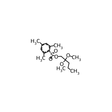 CCCC(COS(=O)(=O)c1c(C)cc(C)cc1C)(OC)OC